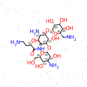 NCC[C@H](O)C(=O)N[C@@H]1C[C@H](N)[C@@H](O[C@H]2O[C@H](CN)[C@H](O)C(O)[C@H]2O)[C@H](O)[C@H]1O[C@H]1O[C@H](CO)[C@@H](O)[C@H](N)[C@H]1O